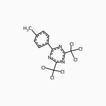 Cc1ccc(-c2nc(C(Cl)(Cl)Cl)nc(C(Cl)(Cl)Cl)n2)cc1